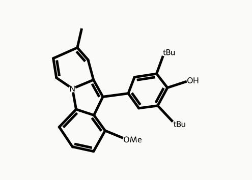 COc1cccc2c1c(-c1cc(C(C)(C)C)c(O)c(C(C)(C)C)c1)c1cc(C)ccn12